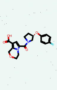 O=C(O)c1cc(C(=O)N2CC[C@H](Oc3ccc(F)cc3)C2)n2c1COCC2